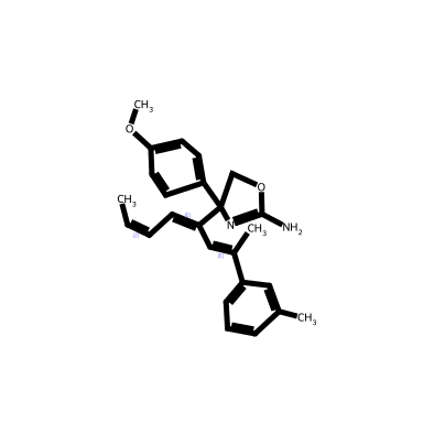 C\C=C/C=C(\C=C(/C)c1cccc(C)c1)C1(c2ccc(OC)cc2)COC(N)=N1